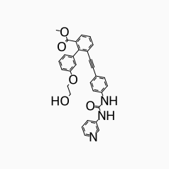 COC(=O)c1cccc(C#Cc2ccc(NC(=O)Nc3cccnc3)cc2)c1-c1cccc(OCCO)c1